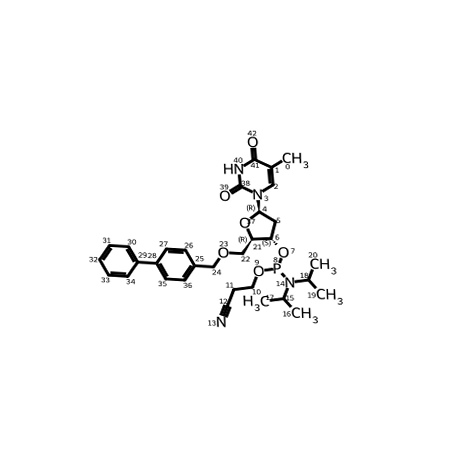 Cc1cn([C@H]2C[C@H](OP(OCCC#N)N(C(C)C)C(C)C)[C@@H](COCc3ccc(-c4ccccc4)cc3)O2)c(=O)[nH]c1=O